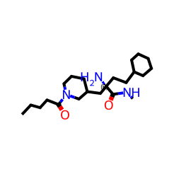 CCCCC(=O)N1CCCC(C[C@](N)(CCC2CCCCC2)C(=O)NC)C1